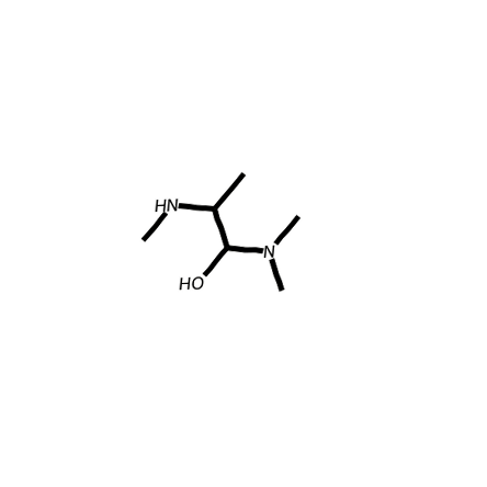 CNC(C)C(O)N(C)C